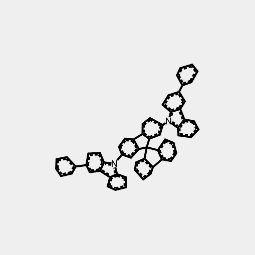 c1ccc(-c2ccc3c(c2)c2ccccc2n3-c2ccc3c(c2)C2(c4ccccc4-c4ccccc42)c2cc(-n4c5ccccc5c5cc(-c6ccccc6)ccc54)ccc2-3)cc1